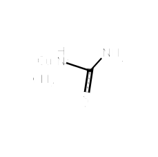 C.NC(N)=S.[Cu]